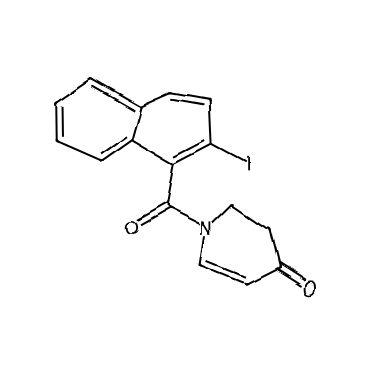 O=C1C=CN(C(=O)c2c(I)ccc3ccccc23)CC1